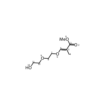 COC(=O)C(C)=COCCOCCO